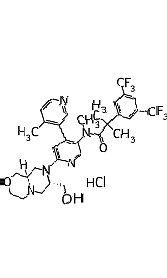 Cc1ccncc1-c1cc(N2C[C@H]3COCCN3C[C@H]2CO)ncc1N(C)C(=O)C(C)(C)c1cc(C(F)(F)F)cc(C(F)(F)F)c1.Cl